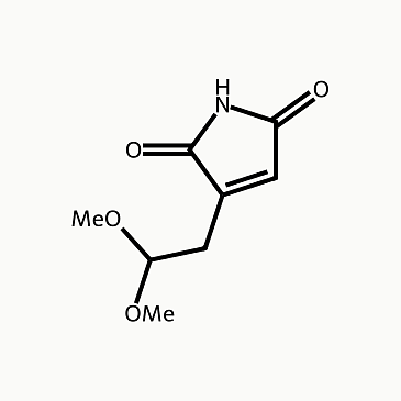 COC(CC1=CC(=O)NC1=O)OC